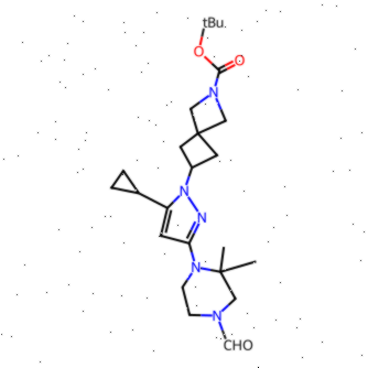 CC(C)(C)OC(=O)N1CC2(CC(n3nc(N4CCN(C=O)CC4(C)C)cc3C3CC3)C2)C1